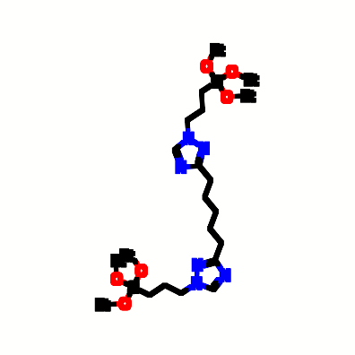 CCO[Si](CCCn1cnc(CCCCCc2ncn(CCC[Si](OCC)(OCC)OCC)n2)n1)(OCC)OCC